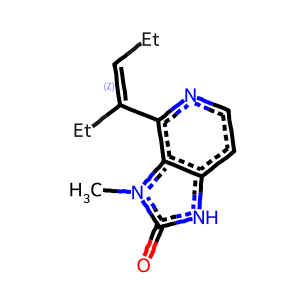 CC/C=C(/CC)c1nccc2[nH]c(=O)n(C)c12